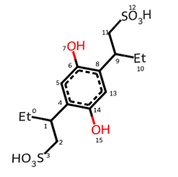 CCC(CS(=O)(=O)O)c1cc(O)c(C(CC)CS(=O)(=O)O)cc1O